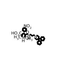 CC1=C(C(=O)O)[C@H](c2ccc([N+](=O)[O-])cc2)C(C(=O)NCCCN2CCC(c3ccccc3)(c3ccccc3)CC2)=C(C)N1